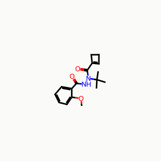 COc1ccccc1C(=O)NN(C(=O)C1=CCC1)C(C)(C)C